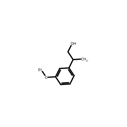 [CH2]C(CO)c1cccc(OCC)c1